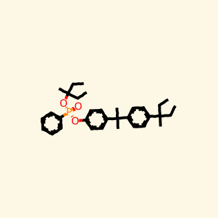 CCC(C)(CC)OP(=O)(Oc1ccc(C(C)(C)c2ccc(C(C)(CC)CC)cc2)cc1)c1ccccc1